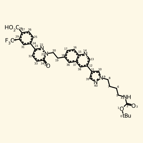 CC(C)(C)OC(=O)NCCCCn1cc(-c2cnc3ccc(CCn4nc(-c5ccc(C(=O)O)c(C(F)(F)F)c5)ccc4=O)cc3c2)cn1